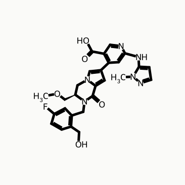 COC[C@H]1Cn2cc(-c3cc(Nc4ccnn4C)ncc3C(=O)O)cc2C(=O)N1Cc1cc(F)ccc1CO